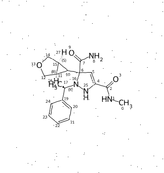 CNC(=O)C1=CC(C(N)=O)(C2[C@H]3COC[C@@H]23)N([C@H](C)c2ccccc2)N1